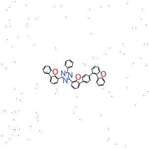 c1ccc(-c2nc(-c3cccc4c3oc3ccccc34)nc(-c3cccc4c3oc3cc(-c5cccc6oc7ccccc7c56)ccc34)n2)cc1